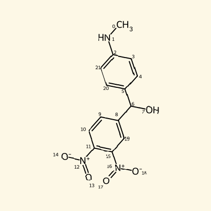 CNc1ccc(C(O)c2ccc([N+](=O)[O-])c([N+](=O)[O-])c2)cc1